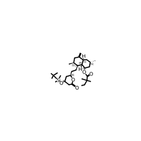 C=C1C[C@H](C)[C@H](CC[C@@H]2C[C@@H](O[Si](C)(C)C(C)(C)C)CC(=O)O2)[C@H]2[C@@H](OC(=O)C(C)(C)CC)C[C@@H](C)C[C@H]12